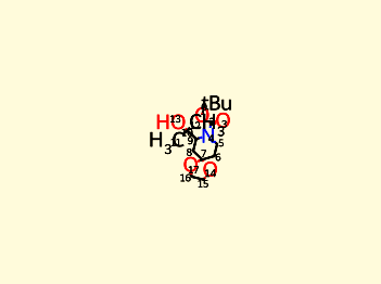 CC(C)(C)OC(=O)N1CCC2(CC1C(C)(C)O)OCCO2